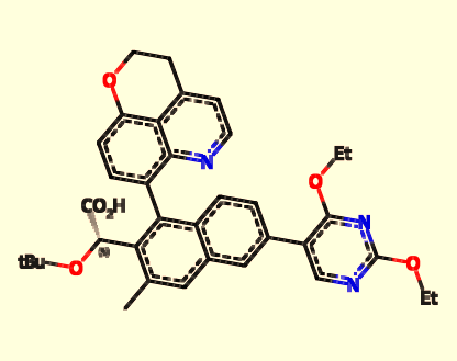 CCOc1ncc(-c2ccc3c(-c4ccc5c6c(ccnc46)CCO5)c([C@H](OC(C)(C)C)C(=O)O)c(C)cc3c2)c(OCC)n1